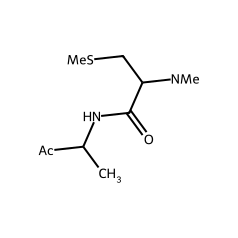 CNC(CSC)C(=O)NC(C)C(C)=O